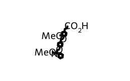 CO/N=C(\COc1ccc(COc2ccc(CCC(=O)O)cc2OC)cc1)c1ccccc1